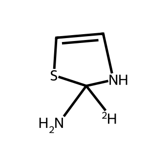 [2H]C1(N)NC=CS1